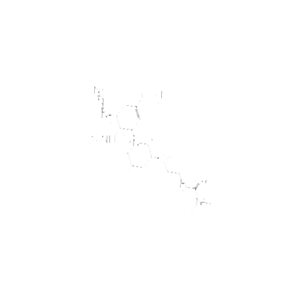 CCOC(=O)C1=C[C@@H](N2CCC[C@H](OCCOC(=O)N(C)C)C2)[C@H](NC(C)=O)[C@@H](N=[N+]=[N-])C1